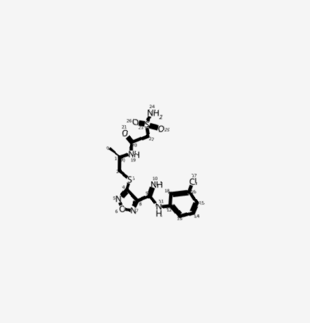 C[C@H](CSc1nonc1C(=N)Nc1cccc(Cl)c1)NC(=O)CS(N)(=O)=O